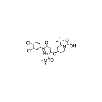 CNC(=O)c1nn(-c2ccc(Cl)c(Cl)c2)c(=O)cc1OC1CCN(C(=O)O)C(C(C)(C)C)C1